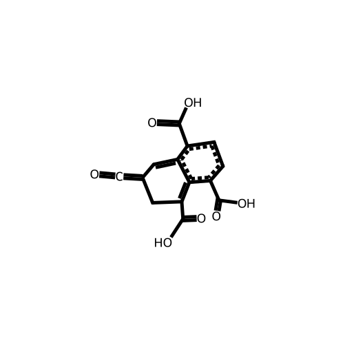 O=C=C1C=c2c(C(=O)O)ccc(C(=O)O)c2=C(C(=O)O)C1